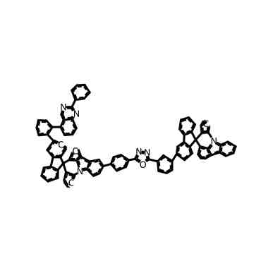 c1ccc(-c2ncc3c(-c4ccccc4-c4ccc5c(c4)-c4ccccc4C54c5ccccc5-n5c6ccc(-c7ccc(-c8nnc(-c9cccc(-c%10ccc%11c(c%10)-c%10ccccc%10C%11%10c%11ccccc%11-n%11c%12ccccc%12c%12cccc%10c%12%11)c9)o8)cc7)cc6c6cccc4c65)cccc3n2)cc1